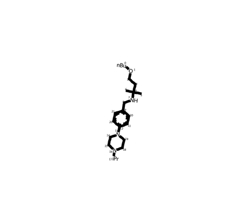 CCCCOCCC(C)(C)NCc1ccc(N2CCN(C(C)C)CC2)cc1